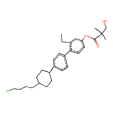 CCc1cc(OC(=O)C(C)(C)CO)ccc1-c1ccc(C2CCC(CCCCF)CC2)cc1